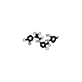 N#Cc1cc(F)ccc1NC(=O)c1cc(NC(=O)[C@H]2[C@H](c3ccc(Cl)c(Br)c3)C2(Cl)Cl)ccc1Cl